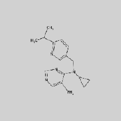 CC(C)c1ccc(CN(c2ncncc2P)C2CC2)cn1